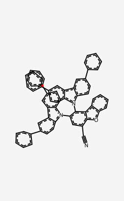 N#Cc1cc(-n2c3ccc(-c4ccccc4)cc3c3cc(-c4ccccc4)ccc32)c(-n2c3ccc(-c4ccccc4)cc3c3cc(-c4ccccc4)ccc32)c2c1oc1ccccc12